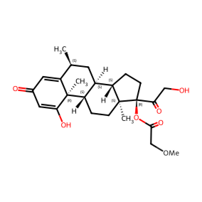 COCC(=O)O[C@]1(C(=O)CO)CC[C@H]2[C@@H]3C[C@H](C)C4=CC(=O)C=C(O)[C@]4(C)[C@H]3CC[C@@]21C